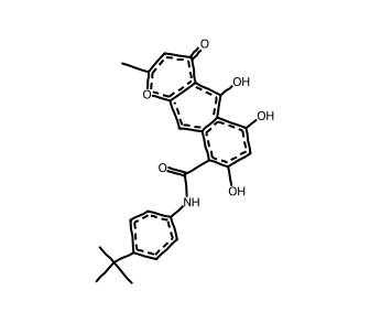 Cc1cc(=O)c2c(O)c3c(O)cc(O)c(C(=O)Nc4ccc(C(C)(C)C)cc4)c3cc2o1